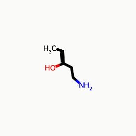 CC=C(O)CCN